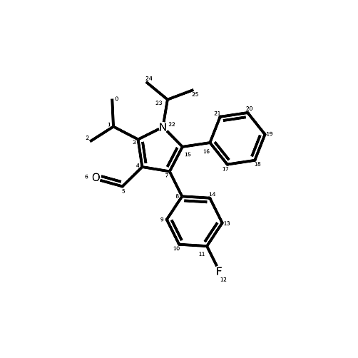 CC(C)c1c(C=O)c(-c2ccc(F)cc2)c(-c2ccccc2)n1C(C)C